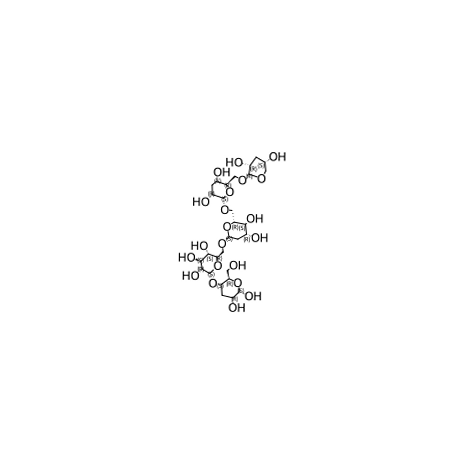 OC[C@H]1O[C@H](O)[C@H](O)C[C@@H]1O[C@H]1O[C@H](CO[C@@H]2C[C@@H](O)[C@H](O)[C@@H](CO[C@H]3O[C@H](CO[C@H]4OC[C@@H](O)C[C@H]4O)[C@@H](O)C[C@H]3O)O2)[C@@H](O)[C@H](O)[C@H]1O